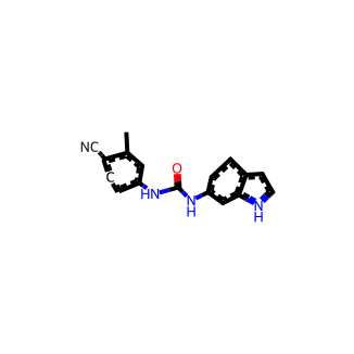 Cc1cc(NC(=O)Nc2ccc3cc[nH]c3c2)ccc1C#N